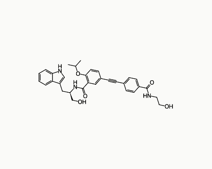 CC(C)Oc1ccc(C#Cc2ccc(C(=O)NCCO)cc2)cc1C(=O)N[C@@H](CO)Cc1c[nH]c2ccccc12